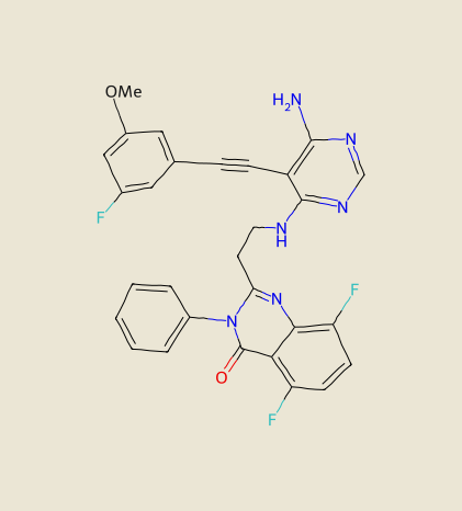 COc1cc(F)cc(C#Cc2c(N)ncnc2NCCc2nc3c(F)ccc(F)c3c(=O)n2-c2ccccc2)c1